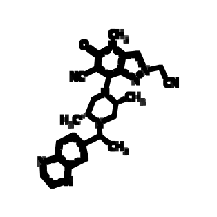 C[C@@H]1CN(c2c(C#N)c(=O)n(C)c3cn(CC#N)nc23)[C@@H](C)CN1[C@@H](C)c1ccc2nccnc2c1